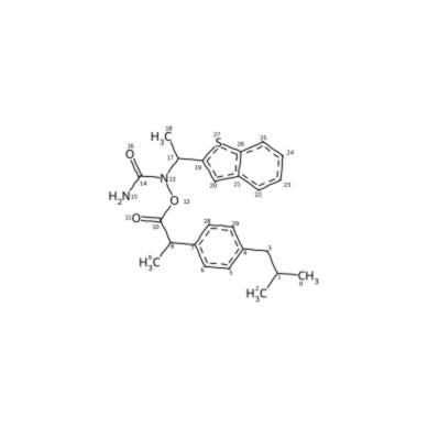 CC(C)Cc1ccc(C(C)C(=O)ON(C(N)=O)C(C)c2cc3ccccc3s2)cc1